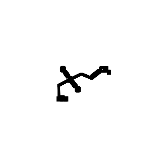 C=CCS(=O)(=O)CCCCC